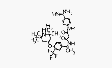 C[C@H](NC(=O)CC(=O)Nc1ccc(C(=N)N)cc1)c1ccc(OC2CC(C)(C)NC(C)(C)C2)c(C(F)(F)F)c1